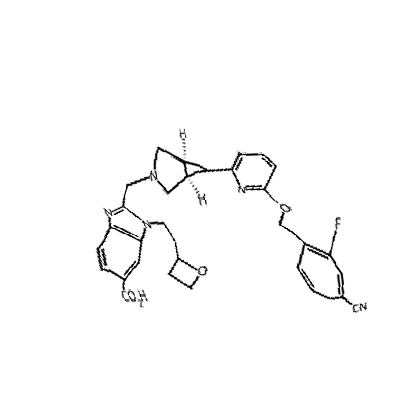 N#Cc1ccc(COc2cccc(C3[C@H]4CN(Cc5nc6ccc(C(=O)O)cc6n5CC5CCO5)C[C@@H]34)n2)c(F)c1